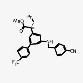 COC(=O)[C@H](CC(C)C)c1cc(NCc2ccc(C#N)cc2)cc(-c2ccc(C(F)(F)F)cc2)c1